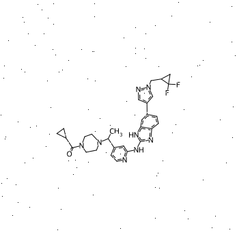 CC(c1ccnc(Nc2nc3ccc(-c4cnn(CC5CC5(F)F)c4)cc3[nH]2)c1)N1CCN(C(=O)C2CC2)CC1